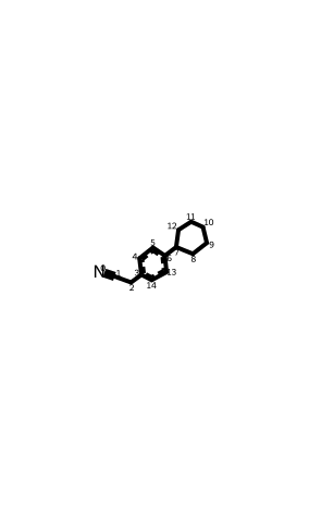 N#CCc1ccc(C2CCCCC2)cc1